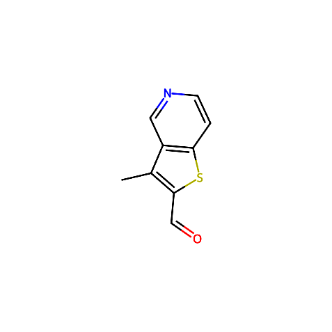 Cc1c(C=O)sc2ccncc12